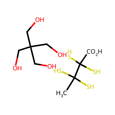 CC(S)(S)C(S)(S)C(=O)O.OCC(CO)(CO)CO